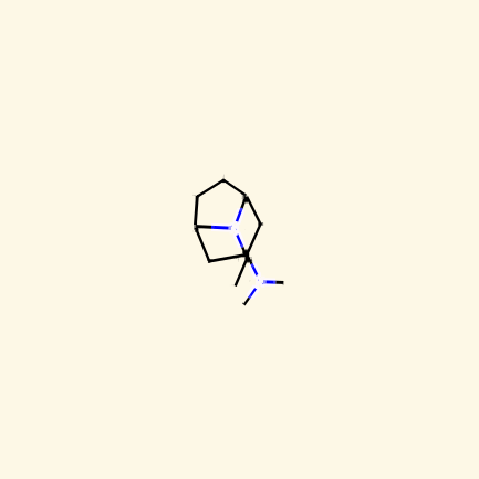 CCN1C2CCC1CC(N(C)C)C2